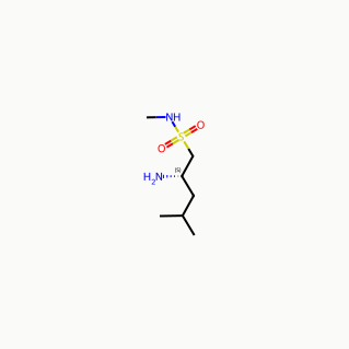 CNS(=O)(=O)C[C@@H](N)CC(C)C